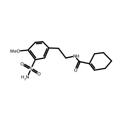 COc1ccc(CCNC(=O)C2=CCCCC2)cc1S(N)(=O)=O